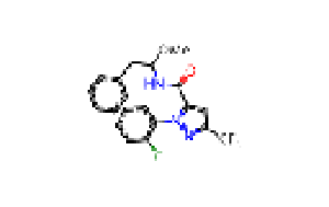 COC(Cc1ccccc1)NC(=O)c1cc(C(F)(F)F)nn1-c1ccccc1Cl